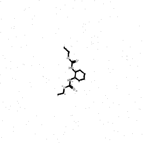 CCOC(=O)NC1CCCCC1NC(=O)OCC